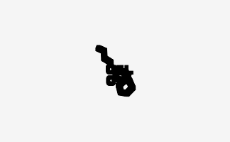 CCCCONC(=O)C1(Br)CCCCC1